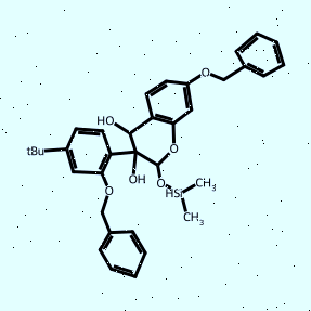 C[SiH](C)OC1Oc2cc(OCc3ccccc3)ccc2C(O)C1(O)c1ccc(C(C)(C)C)cc1OCc1ccccc1